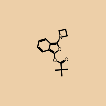 CC(C)(C)C(=O)Oc1oc(N2CCC2)c2ccccc12